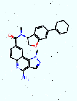 CN(C(=O)c1ccc2nc(N)c3cnn(C)c3c2c1)[C@@H]1COc2cc(C3=CCCCC3)ccc21